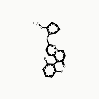 COc1ccccc1Oc1ccc2c(-c3c(F)cccc3F)c(=O)ccn2n1